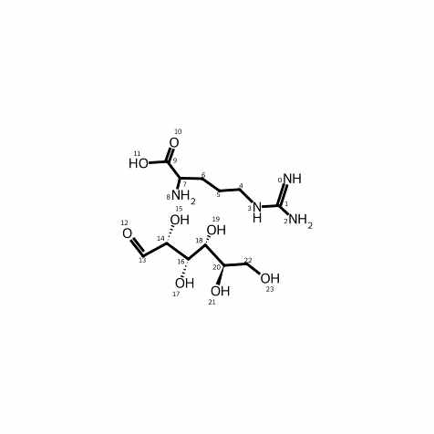 N=C(N)NCCCC(N)C(=O)O.O=C[C@H](O)[C@@H](O)[C@H](O)[C@H](O)CO